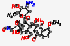 COc1cccc2c1C(=O)c1c(O)c3c(c(O)c1C2=O)C[C@@](O)(C(=O)CN=O)C[C@@H]3OC1CC(N)C(O)C(C)O1